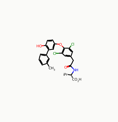 Cc1cccc(-c2cc(Oc3c(Cl)cc(CC(=O)N[C@@H](C(=O)O)C(C)C)cc3Cl)ccc2O)c1